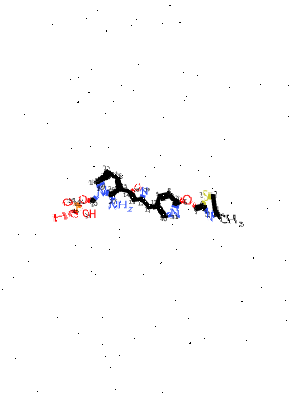 Cc1csc(COc2ccc(Cc3cc(C4=CC=CN(COP(=O)(O)O)C4N)on3)cn2)n1